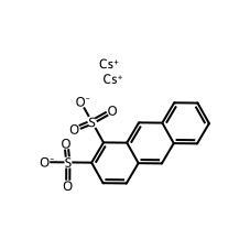 O=S(=O)([O-])c1ccc2cc3ccccc3cc2c1S(=O)(=O)[O-].[Cs+].[Cs+]